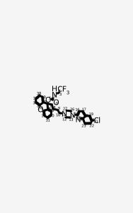 O=C(NCC(F)(F)F)OC1(CCCCN2CCN(c3ccc4cc(Cl)ccc4n3)CC2)c2ccccc2Oc2ccccc21